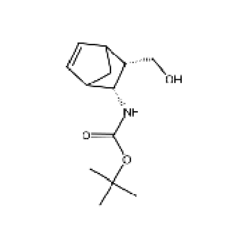 CC(C)(C)OC(=O)N[C@@H]1C2C=CC(C2)[C@@H]1CO